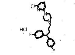 Cl.Fc1ccc(C(CCCN2CCN(c3cccc(Cl)n3)CC2)c2ccc(F)cc2)cc1